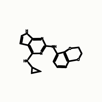 [c]1ccc(Nc2nc(NC3CC3)c3cc[nH]c3n2)c2c1OCCO2